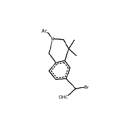 CC(=O)N1Cc2ccc(C(Br)C=O)cc2C(C)(C)C1